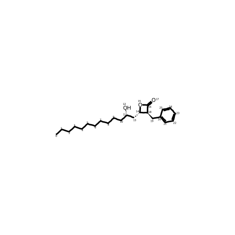 CCCCCCCCCCC[C@H](O)C[C@@H]1OC(=O)[C@H]1Cc1ccccc1